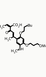 CBc1cc(/C(C)=C/C(=O)/C(=C\C)C(=O)O)c(OCCC(C)CC)cc1OCCCOC